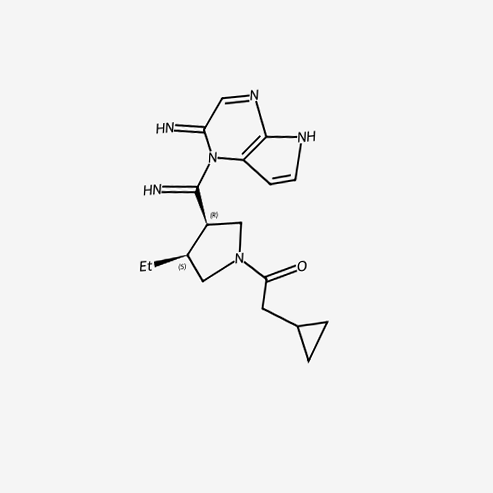 CC[C@@H]1CN(C(=O)CC2CC2)C[C@@H]1C(=N)n1c(=N)cnc2[nH]ccc21